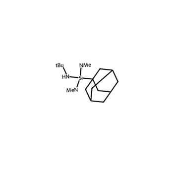 CN[Si](NC)(NC(C)(C)C)C12CC3CC(CC(C3)C1)C2